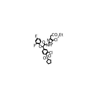 CCOC(=O)Cc1nc(NC(=O)C(Oc2ccc(F)cc2F)c2ccc(S(=O)(=O)C3CCCC3)c(Cl)c2)sc1Cl